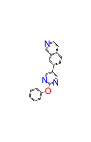 c1ccc(Oc2ncc(-c3ccc4ccncc4c3)cn2)cc1